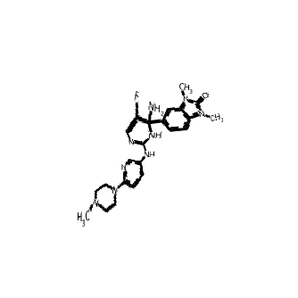 CN1CCN(c2ccc(NC3=NC=C(F)C(N)(c4ccc5c(c4)n(C)c(=O)n5C)N3)cn2)CC1